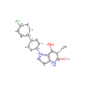 N#Cc1c(O)c2c(ccn2-c2ccc(-c3ccc(F)cc3)cc2)[nH]c1=O